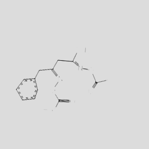 CC(=O)ON=C(C)CC(Cc1ccccc1)=NOC(C)=O